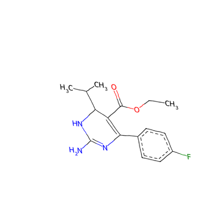 CCOC(=O)C1=C(c2ccc(F)cc2)N=C(N)NC1C(C)C